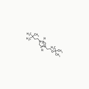 CC(C)(C)CCN1C[C@H]2C[C@@H]1CN2CCOC(C)(C)C